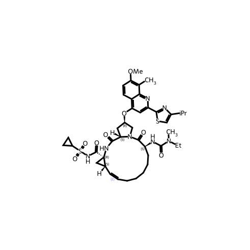 CCN(C)C(=O)N[C@H]1CCCCC/C=C\[C@@H]2C[C@@]2(C(=O)NS(=O)(=O)C2CC2)NC(=O)[C@@H]2C[C@@H](Oc3cc(-c4nc(C(C)C)cs4)nc4c(C)c(OC)ccc34)CN2C1=O